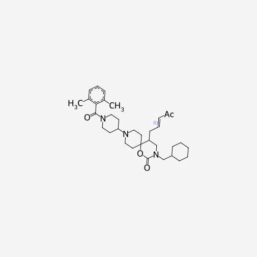 CC(=O)/C=C/CC1CN(CC2CCCCC2)C(=O)OC12CCN(C1CCN(C(=O)c3c(C)cccc3C)CC1)CC2